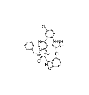 O=C(Nc1noc2ccccc12)[C@H](Cc1ccccc1)n1cnc(-c2cc(Cl)ccc2N2C=C(Cl)NN2)cc1=O